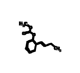 CCCCC1CCCCC1OC(=O)OC